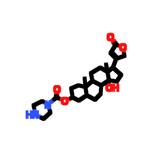 CC12CCC(OC(=O)N3CCNCC3)CC1CCC1C2CCC2(C)C(C3=CC(=O)OC3)CCC12O